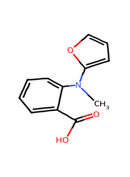 CN(c1ccco1)c1ccccc1C(=O)O